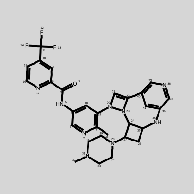 Cc1ncc(NC(=O)c2cc(C(F)(F)F)ccn2)cc1-n1cc2n1C1C(CC1N1CCN(C)CC1)Nc1cncc-2c1